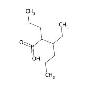 CCCC(CC)C(CCC)[PH](=O)O